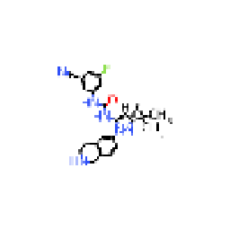 CC(C)(C)c1cc(NC(=O)Nc2cc(F)cc(C#N)c2)n(-c2ccc3c(c2)CCNC3)n1